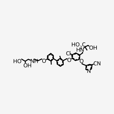 Cc1c(COc2cc(OCc3cncc(C#N)c3)c(CNC(C)(CO)C(=O)O)cc2Cl)cccc1-c1cccc(OCCCNCC(O)CO)c1C